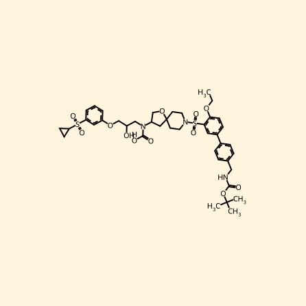 CCOc1ccc(-c2ccc(CNC(=O)OC(C)(C)C)cc2)cc1S(=O)(=O)N1CCC2(CC1)CC(N(CC(O)COc1cccc(S(=O)(=O)C3CC3)c1)C(=O)O)CO2